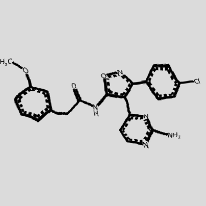 COc1cccc(CC(=O)Nc2onc(-c3ccc(Cl)cc3)c2-c2ccnc(N)n2)c1